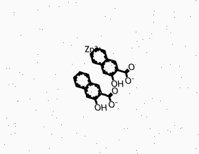 O=C([O-])c1cc2ccccc2cc1O.O=C([O-])c1cc2ccccc2cc1O.[Zn+2]